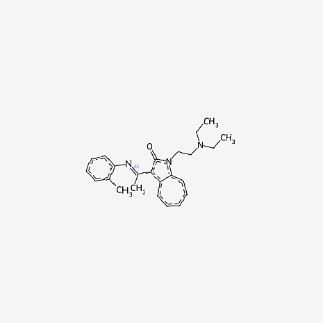 CCN(CC)CCn1c2cccccc-2c(/C(C)=N/c2ccccc2C)c1=O